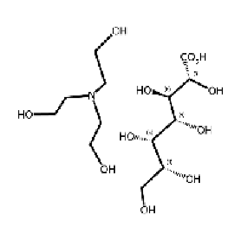 O=C(O)[C@H](O)[C@H](O)[C@H](O)[C@@H](O)[C@H](O)CO.OCCN(CCO)CCO